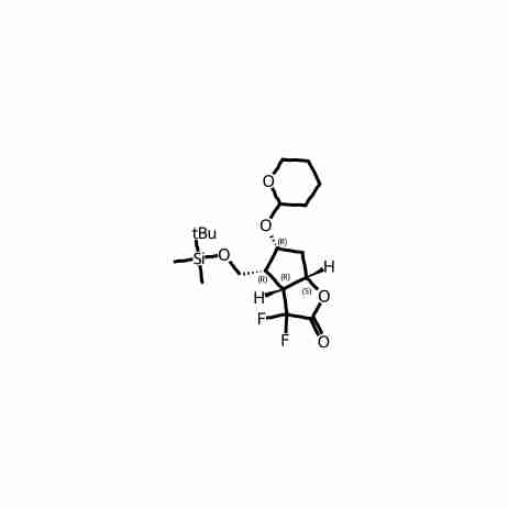 CC(C)(C)[Si](C)(C)OC[C@H]1[C@@H]2[C@H](C[C@H]1OC1CCCCO1)OC(=O)C2(F)F